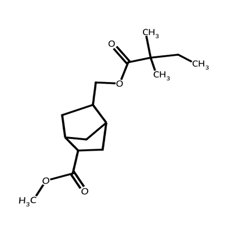 CCC(C)(C)C(=O)OCC1CC2CC1CC2C(=O)OC